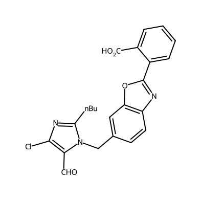 CCCCc1nc(Cl)c(C=O)n1Cc1ccc2nc(-c3ccccc3C(=O)O)oc2c1